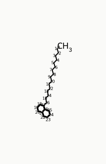 CCCCCCCCCCCCCCCCCc1cccc2ccccc12